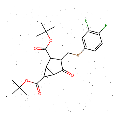 CC(C)(C)OC(=O)C1C(CSc2ccc(F)c(F)c2)C(=O)C2C(C(=O)OC(C)(C)C)C12